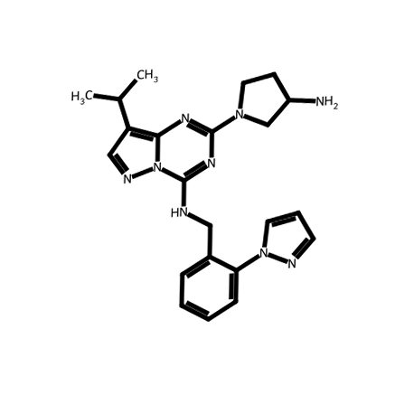 CC(C)c1cnn2c(NCc3ccccc3-n3cccn3)nc(N3CCC(N)C3)nc12